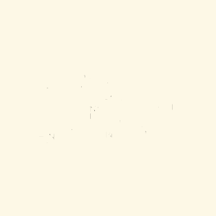 Cc1cc(C(=O)Nc2c(O)cccc2CN)c(Br)s1